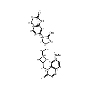 COc1ccc2ccc(=O)n(CC3CN(CC[C@@H]4CN(c5ccc6c(c5)NC(=O)CS6)C(=O)O4)C3)c2c1